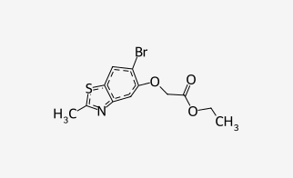 CCOC(=O)COc1cc2nc(C)sc2cc1Br